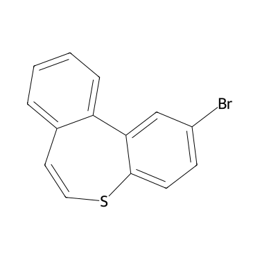 Brc1ccc2c(c1)-c1ccccc1C=CS2